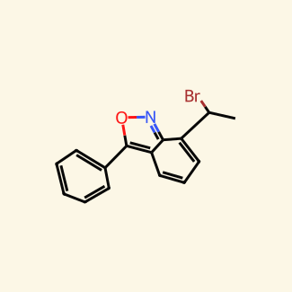 CC(Br)c1cccc2c(-c3ccccc3)onc12